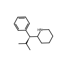 CC(C)[C@@H](c1ccccc1)C1CCCCN1